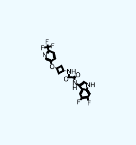 O=C(Nc1c[nH]c2cc(F)c(F)cc12)C(=O)N[C@H]1C[C@@H](Oc2ccc(C(F)(F)F)nc2)C1